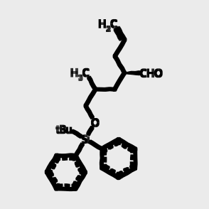 C=CC[C@@H](C=O)CC(C)CO[Si](c1ccccc1)(c1ccccc1)C(C)(C)C